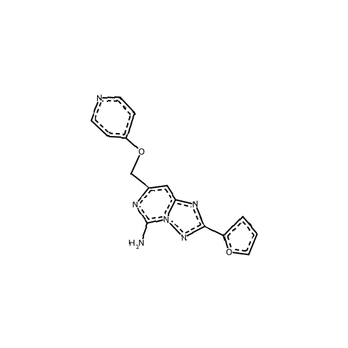 Nc1nc(COc2ccncc2)cc2nc(-c3ccco3)nn12